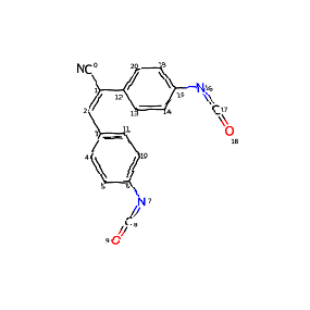 N#CC(=Cc1ccc(N=C=O)cc1)c1ccc(N=C=O)cc1